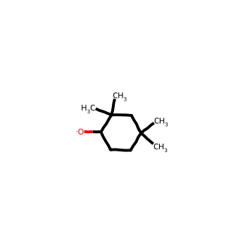 CC1(C)CCC([O])C(C)(C)C1